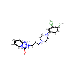 O=c1n(CCCN2CCN(c3ccc(F)c(Cl)c3)CC2)nc2ccccn12